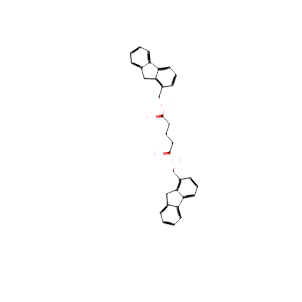 O=C(CCCC(=O)OCc1cccc2c1Cc1ccccc1-2)OCc1cccc2c1Cc1ccccc1-2